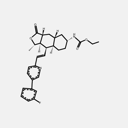 CCOC(=O)N[C@@H]1CC[C@@H]2[C@@H](C1)C[C@H]1C(=O)O[C@@H](C)[C@@H]1[C@@H]2/C=C/c1ccc(-c2cccc(F)c2)cn1